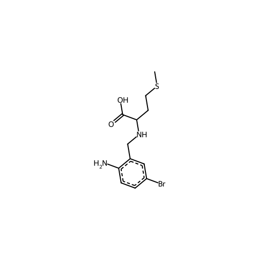 CSCCC(NCc1cc(Br)ccc1N)C(=O)O